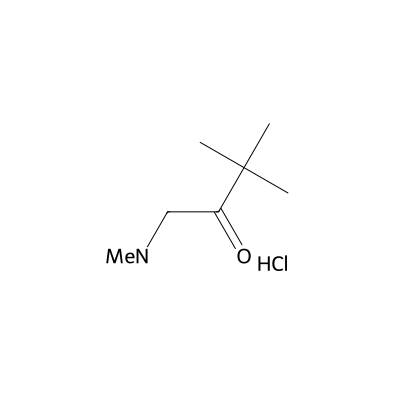 CNCC(=O)C(C)(C)C.Cl